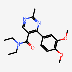 CCN(CC)C(=O)c1cnc(C)nc1-c1ccc(OC)c(OC)c1